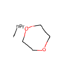 C1COCCO1.CCCC